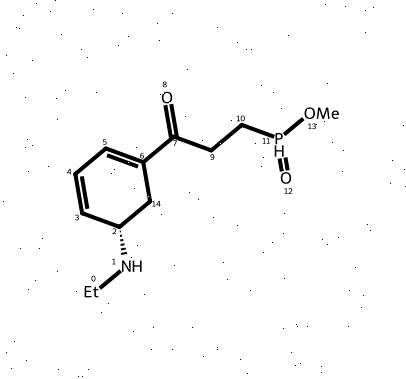 CCN[C@@H]1C=CC=C(C(=O)CC[PH](=O)OC)C1